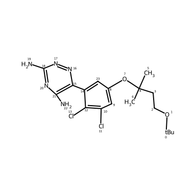 CC(C)(C)OCCC(C)(C)Oc1cc(Cl)c(Cl)c(-c2nnc(N)nc2N)c1